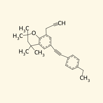 C#CCc1cc(C#Cc2ccc(CC)cc2)cc2c1OC(C)(C)CC2(C)C